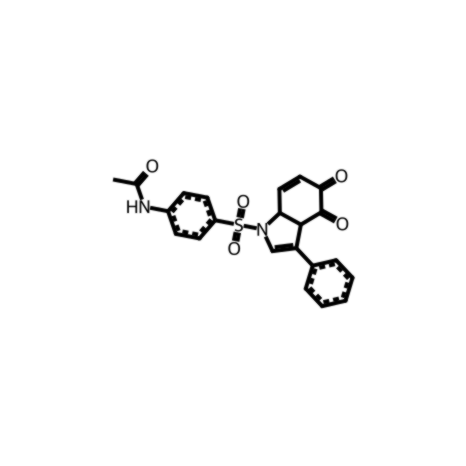 CC(=O)Nc1ccc(S(=O)(=O)N2C=C(c3ccccc3)C3C(=O)C(=O)C=CC32)cc1